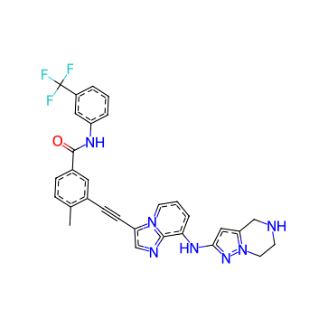 Cc1ccc(C(=O)Nc2cccc(C(F)(F)F)c2)cc1C#Cc1cnc2c(Nc3cc4n(n3)CCNC4)cccn12